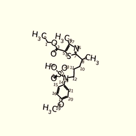 CCOC(=O)c1sc(C(C)CCCN(c2ccc(OC)cc2)S(=O)(=O)O)nc1C